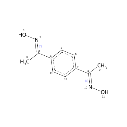 C/C(=N\O)c1ccc(/C(C)=N/O)cc1